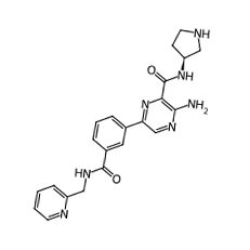 Nc1ncc(-c2cccc(C(=O)NCc3ccccn3)c2)nc1C(=O)N[C@H]1CCNC1